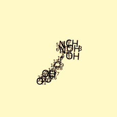 C[C@H](O)c1nccn1[C@@H](C#Cc1ccc(-c2ccc(O[C@@H]3COC[C@H]3O)cc2)cc1)CO